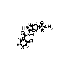 NS(=O)(=O)N1Cc2n[nH]c(NC(=O)c3ccccc3Cl)c2C1